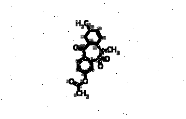 CC(=O)Oc1ccc2c(c1)S(=O)(=O)N(C)C1=C(CC(C)C=C1)C2=O